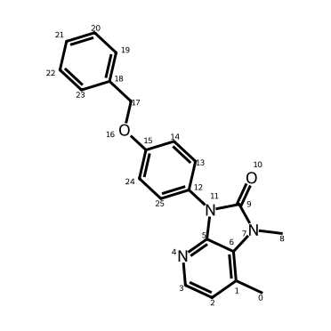 Cc1ccnc2c1n(C)c(=O)n2-c1ccc(OCc2ccccc2)cc1